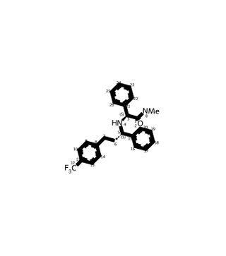 CNC(=O)[C@@H](N[C@@H](CCc1ccc(C(F)(F)F)cc1)c1ccccc1)c1ccccc1